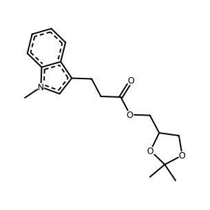 Cn1cc(CCC(=O)OCC2COC(C)(C)O2)c2ccccc21